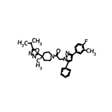 Cc1cc(-c2cc(-c3ccccc3)n(CC(=O)N3CCC(C)(c4nnc(C(C)C)o4)CC3)n2)ccc1F